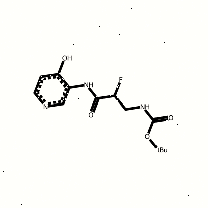 CC(C)(C)OC(=O)NCC(F)C(=O)Nc1cnccc1O